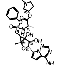 C[C@H](NP(=O)(Oc1ccccc1)OC1[C@@]2(C)O[C@@H](c3ccc4c(N)ncnn34)[C@H](O)[C@@]12O)C(=O)O[C@@H]1CCN(C)C1